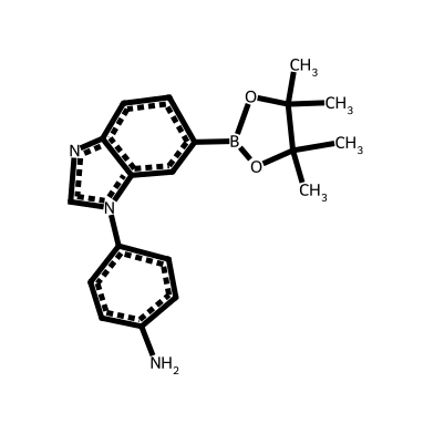 CC1(C)OB(c2ccc3ncn(-c4ccc(N)cc4)c3c2)OC1(C)C